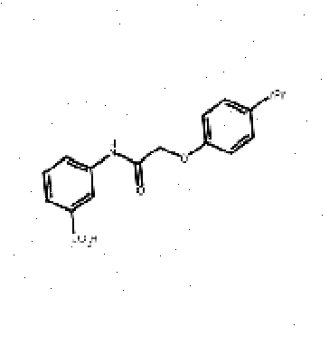 CCCc1ccc(OCC(=O)Nc2cccc(C(=O)O)c2)cc1